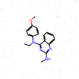 CCN(c1ccc(OC)cc1)c1nc(NC)nc2ccccc12